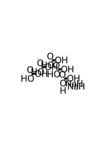 O=C(O)O.O=C(O)O.O=C(O)O.O=C(O)O.O=C(O)O.[NaH].[NaH]